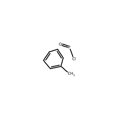 Cc1ccccc1.O=PCl